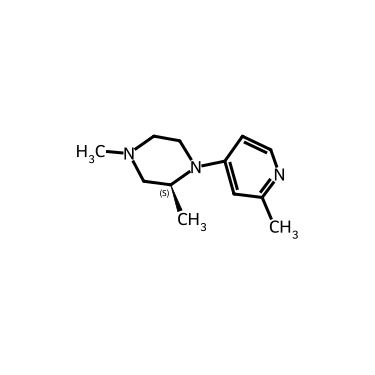 Cc1cc(N2CCN(C)C[C@@H]2C)ccn1